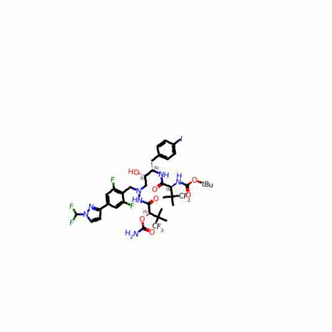 CC(C)(C)OC(=O)N[C@H](C(=O)N[C@@H](Cc1ccc(I)cc1)[C@@H](O)CN(Cc1c(F)cc(-c2ccn(C(F)F)n2)cc1F)NC(=O)[C@@H](OC(N)=O)C(C)(C)C(F)(F)F)C(C)(C)C(F)(F)F